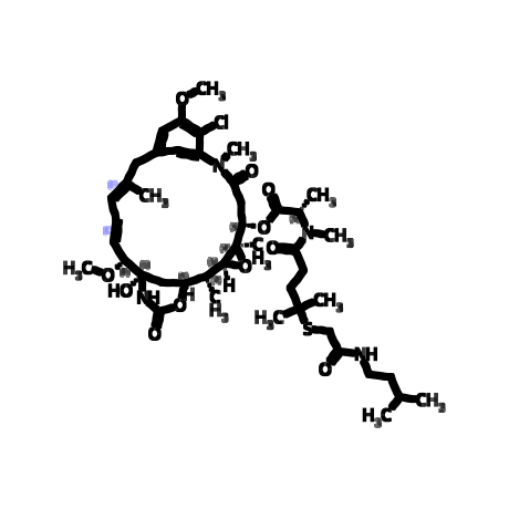 COc1cc2cc(c1Cl)N(C)C(=O)C[C@H](OC(=O)[C@H](C)N(C)C(=O)CCC(C)(C)SCC(=O)NCCC(C)C)[C@@]1(C)O[C@H]1[C@H](C)[C@@H]1C[C@@](O)(NC(=O)O1)[C@H](OC)/C=C/C=C(\C)C2